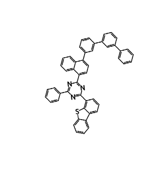 c1ccc(-c2cccc(-c3cccc(-c4ccc(-c5nc(-c6ccccc6)nc(-c6cccc7c6sc6ccccc67)n5)c5ccccc45)c3)c2)cc1